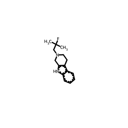 CC(C)(F)CN1CCc2c([nH]c3ccccc23)C1